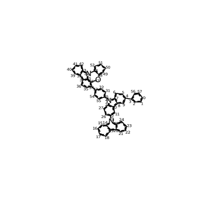 c1ccc(-c2ccc3c(c2)c2cc(-n4c5ccccc5c5ccccc54)ccc2n3-c2ccc(-c3ccc4c5ccccc5n5c4c3Oc3ccccc3-5)cc2)cc1